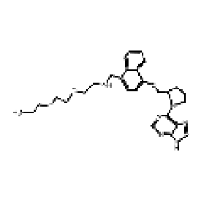 NCCOCCOCCNCc1ccc(OC[C@H]2CCCN2c2ncnc3[nH]cnc23)c2ccccc12